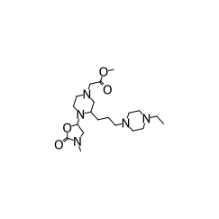 CCN1CCN(CCCC2CN(CC(=O)OC)CCN2C2CN(C)C(=O)O2)CC1